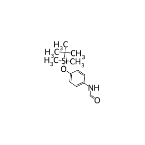 CC(C)(C)[Si](C)(C)Oc1ccc(NC=O)cc1